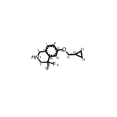 FC1(F)CNCc2ccc(OCC3CC3)cc21